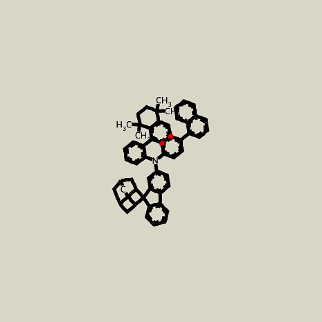 CC1(C)CCC(C)(C)c2c(-c3ccccc3N(c3ccc(-c4cccc5ccccc45)cc3)c3ccc4c(c3)C3(c5ccccc5-4)C4CC5CC6CC3C64C5)cccc21